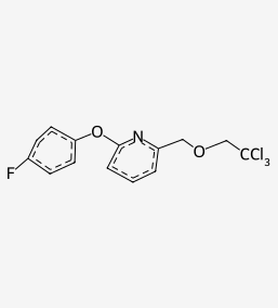 Fc1ccc(Oc2cccc(COCC(Cl)(Cl)Cl)n2)cc1